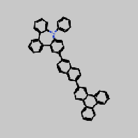 c1ccc(N2c3ccccc3-c3ccccc3-c3cc(-c4ccc5cc(-c6ccc7c8ccccc8c8ccccc8c7c6)ccc5c4)ccc32)cc1